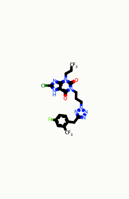 O=c1c2[nH]c(Cl)nc2n(CCC(F)(F)F)c(=O)n1CCCn1nnc(Cc2ccc(F)cc2C(F)(F)F)n1